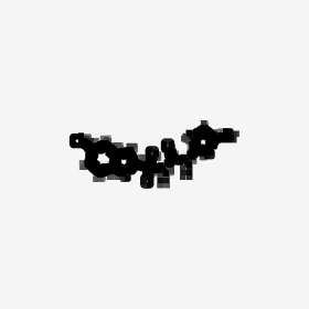 O=C(Nc1ncc(Br)s1)NS(=O)(=O)c1cc2cc(Cl)ccc2s1